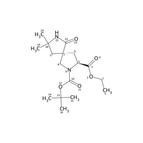 CCOC(=O)[C@@H]1C[C@]2(CN1C(=O)OC(C)(C)C)CC(C)(C)NC2=O